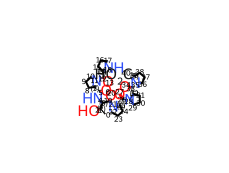 C[C@@H](O)[C@H](NC(=O)[C@@H]1CCCN1C(=O)[C@@H]1CCCN1)C(=O)N1CCC[C@H]1C(=O)N1CCC[C@H]1C(=O)N1CCC[C@H]1C(=O)O